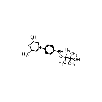 C[C@@H]1CN(c2ccc(BOC(C)(C)C(C)(C)O)cc2)C[C@H](C)O1